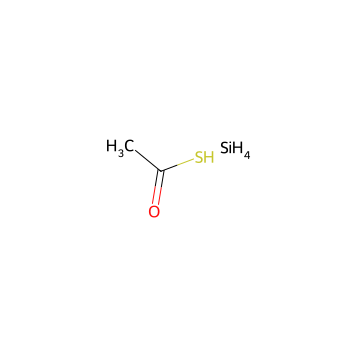 CC(=O)S.[SiH4]